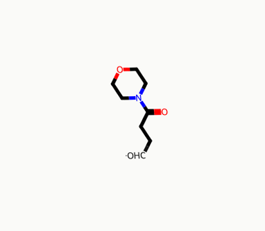 O=[C]CCC(=O)N1CCOCC1